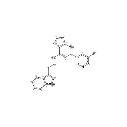 Fc1cncc(C2N=C(NCCc3c[nH]c4ccccc34)c3occc3N2)c1